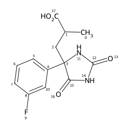 CC(CC1(c2cccc(F)c2)NC(=O)NC1=O)C(=O)O